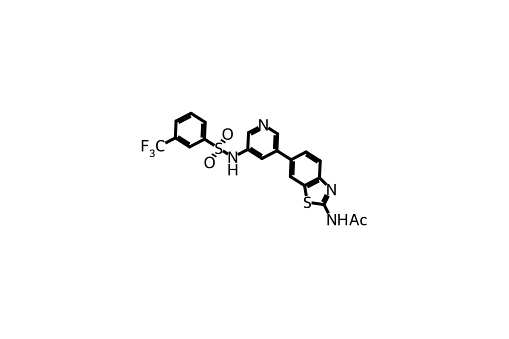 CC(=O)Nc1nc2ccc(-c3cncc(NS(=O)(=O)c4cccc(C(F)(F)F)c4)c3)cc2s1